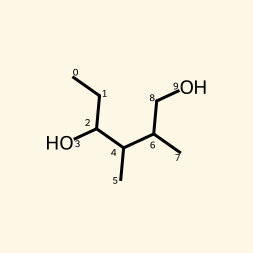 CCC(O)C(C)C(C)CO